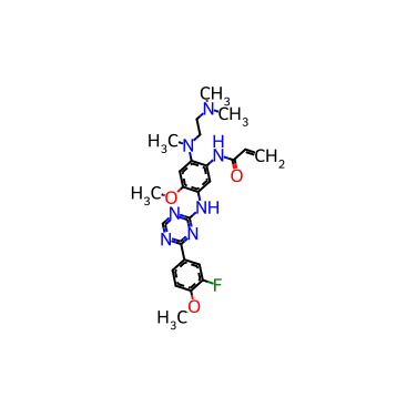 C=CC(=O)Nc1cc(Nc2ncnc(-c3ccc(OC)c(F)c3)n2)c(OC)cc1N(C)CCN(C)C